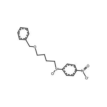 O=[N+]([O-])c1ccc([S+]([O-])CCCCOCc2ccccc2)cc1